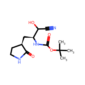 CC(C)(C)OC(=O)N[C@@H](C[C@@H]1CCNC1=O)C(O)C#N